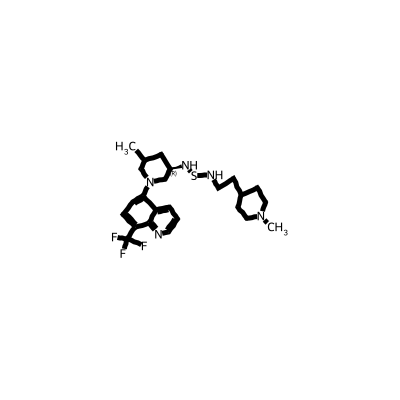 CC1C[C@@H](NSNCCC2CCN(C)CC2)CN(c2ccc(C(F)(F)F)c3ncccc23)C1